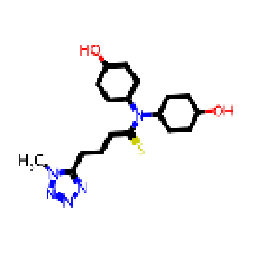 Cn1nnnc1CCCC(=S)N(C1CCC(O)CC1)C1CCC(O)CC1